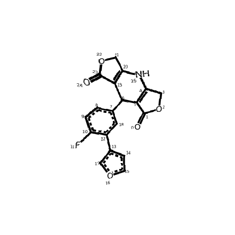 O=C1OCC2=C1C(c1ccc(F)c(-c3ccoc3)c1)C1=C(COC1=O)N2